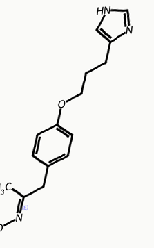 C/C(Cc1ccc(OCCCc2c[nH]cn2)cc1)=N\O